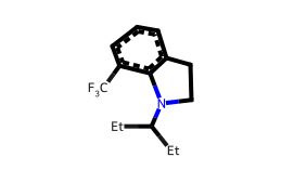 CCC(CC)N1CCc2cccc(C(F)(F)F)c21